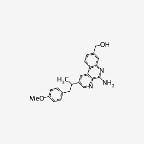 COc1ccc(CC(C)c2cnc3c(N)nc4cc(CO)ccc4c3c2)cc1